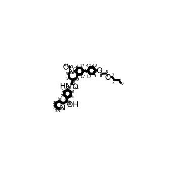 CCCCOCCOc1ccc(-c2ccc3c(c2)C=C(C(=O)Nc2ccc([C@@H](O)c4ccccn4)cc2)CCN3C=O)cc1